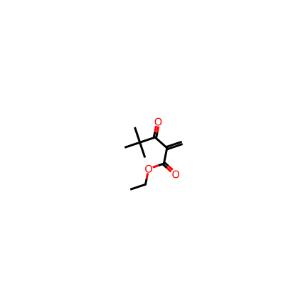 C=C(C(=O)OCC)C(=O)C(C)(C)C